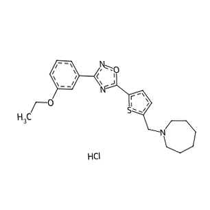 CCOc1cccc(-c2noc(-c3ccc(CN4CCCCCC4)s3)n2)c1.Cl